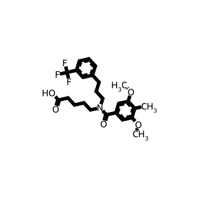 COc1cc(C(=O)N(CCCCC(=O)O)CCCc2cccc(C(F)(F)F)c2)cc(OC)c1C